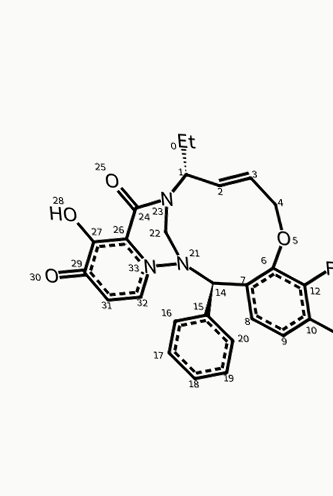 CC[C@@H]1/C=C/COc2c(ccc(F)c2F)[C@@H](c2ccccc2)N2CN1C(=O)c1c(O)c(=O)ccn12